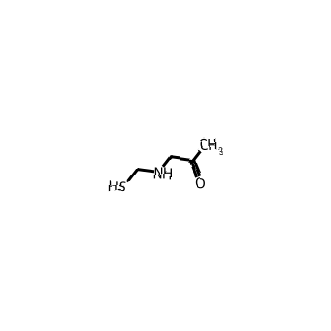 CC(=O)CNCS